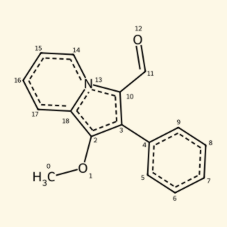 COc1c(-c2ccccc2)c(C=O)n2ccccc12